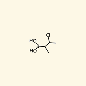 CC(Cl)C(C)B(O)O